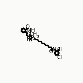 Cn1c(Cc2n[nH]c(=O)c3ccccc23)nnc1SCCCCCCCCCCC(=O)Nc1ccc(Cl)cc1Cl